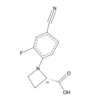 N#Cc1ccc(N2CC[C@H]2C(=O)O)c(F)c1